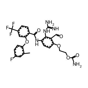 Cc1cc(F)ccc1Oc1cc(C(F)(F)F)ccc1C(=O)Nc1ccc(OCCOC(N)=O)c(C=O)c1NC(=N)N